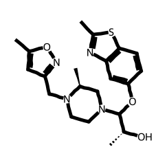 Cc1cc(CN2CCN(C(Oc3ccc4sc(C)nc4c3)[C@@H](C)O)C[C@@H]2C)no1